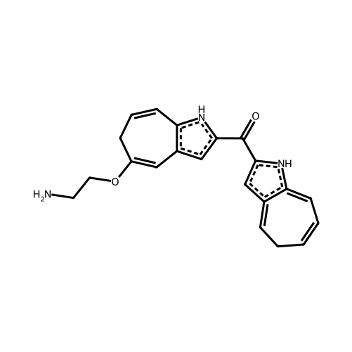 NCCOC1=Cc2cc(C(=O)c3cc4c([nH]3)=CC=CCC=4)[nH]c2C=CC1